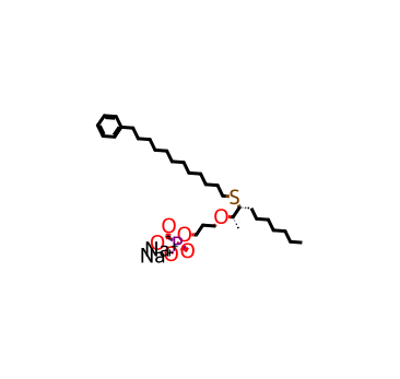 CCCCCCC[C@@H](SCCCCCCCCCCCCc1ccccc1)[C@H](C)OCCCOP(=O)([O-])C(=O)[O-].[Na+].[Na+]